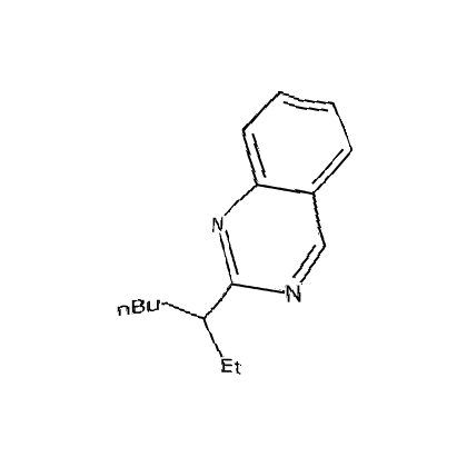 CCCCC(CC)c1ncc2ccccc2n1